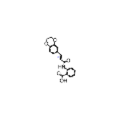 O=C(/C=C/c1ccc2c(c1)OCCO2)Nc1ccccc1C(=O)O